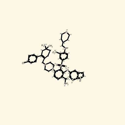 CC1(C)CCC(CN2CCN(c3ccc(C(N)=O)c(Oc4cnc5[nH]ccc5c4)c3S(=O)(=O)c3ccc(NCC4CCOCC4)c([N+](=O)[O-])c3)CC2)=C(c2ccc(Cl)cc2)C1